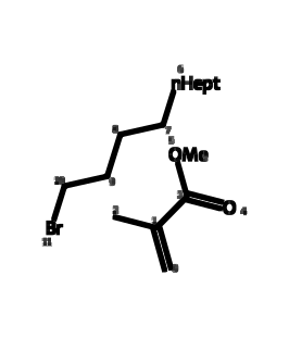 C=C(C)C(=O)OC.CCCCCCCCCCCBr